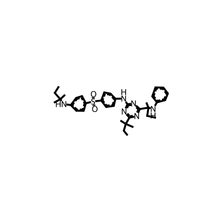 CCC(C)(C)Nc1ccc(S(=O)(=O)c2ccc(Nc3nc(C(C)(C)CC)nc(C(C)(CC)Nc4ccccc4)n3)cc2)cc1